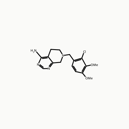 COc1ccc(CN2CCc3c(N)ncnc3C2)c(Cl)c1OC